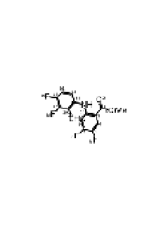 COC(=O)c1cc(F)c(F)cc1Nc1ccc(F)c(F)c1C=O